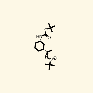 C/C(=N\[S@@+]([O-])C(C)(C)C)[C@@H]1CCC[C@H](NC(=O)OC(C)(C)C)C1